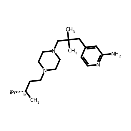 CC(C)[C@@H](C)CCN1CCN(CC(C)(C)Cc2ccnc(N)c2)CC1